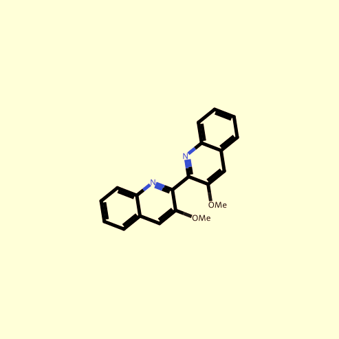 COc1cc2ccccc2nc1-c1nc2ccccc2cc1OC